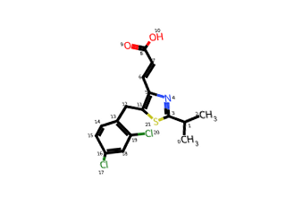 CC(C)c1nc(C=CC(=O)O)c(Cc2ccc(Cl)cc2Cl)s1